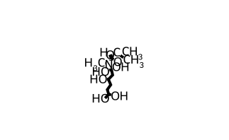 CN(C(=O)OC(C)(C)C)C(O)(O)CC(O)CCC(O)O